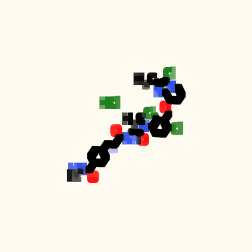 CCNC(=O)c1ccc(/C=C/C(=O)NCC(=O)N(C)c2ccc(Cl)c(COc3cccn4c(Cl)c(C)nc34)c2Cl)cc1.Cl